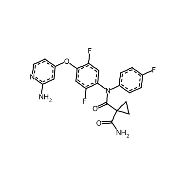 NC(=O)C1(C(=O)N(c2ccc(F)cc2)c2cc(F)c(Oc3ccnc(N)c3)cc2F)CC1